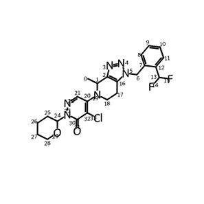 CC1c2nnn(Cc3ccccc3C(F)F)c2CCN1c1cnn(C2CCCCO2)c(=O)c1Cl